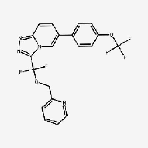 FC(F)(F)Oc1ccc(-c2ccc3nnc(C(F)(F)OCc4ccccn4)n3c2)cc1